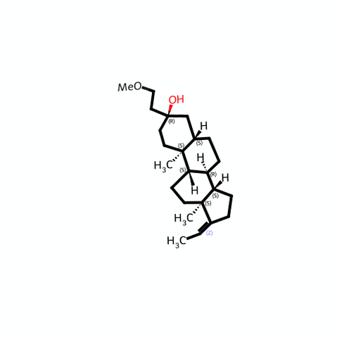 C/C=C1/CC[C@H]2[C@@H]3CC[C@H]4C[C@@](O)(CCOC)CC[C@]4(C)[C@H]3CC[C@]12C